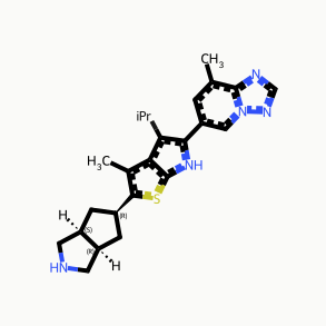 Cc1c([C@H]2C[C@H]3CNC[C@H]3C2)sc2[nH]c(-c3cc(C)c4ncnn4c3)c(C(C)C)c12